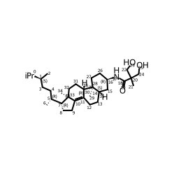 CC(C)[C@@H](C)CC[C@@H](C)[C@H]1CCC2=C3CC[C@H]4C[C@H](NC(=O)C(C)(CO)CO)CC[C@]4(C)[C@H]3CC[C@@]21C